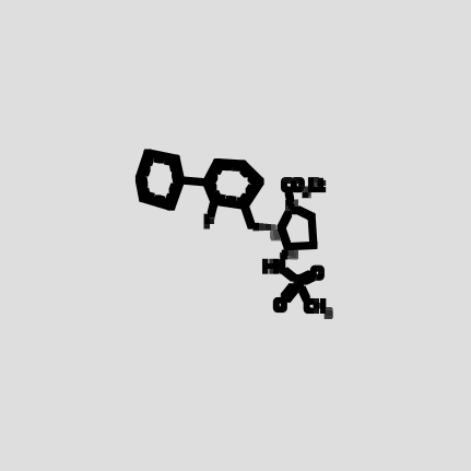 CCOC(=O)N1CC[C@H](NS(C)(=O)=O)[C@@H]1Cc1cccc(-c2ccccc2)c1F